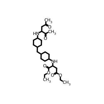 CCOC(=O)CC(NC1CCC(CC2CCC(NC(CC(C)=O)C(C)=O)CC2)CC1)C(=O)OCC